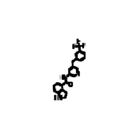 O=C(Nc1cncc(Cc2cccc(C(F)(F)F)c2)c1)c1cccc2c1CCN2